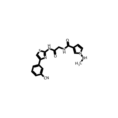 CBn1ccc(C(=O)NCC(=O)Nc2nc(-c3cccc(C#N)c3)cs2)c1